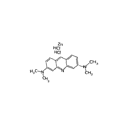 CN(C)c1ccc2cc3ccc(N(C)C)cc3nc2c1.Cl.Cl.[Zn]